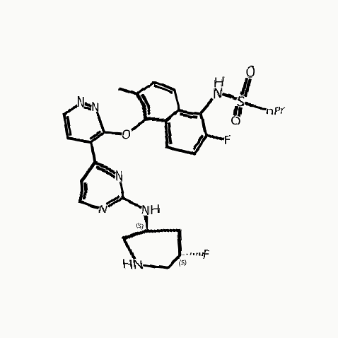 CCCS(=O)(=O)Nc1c(F)ccc2c(Oc3nnccc3-c3ccnc(N[C@@H]4CNC[C@@H](F)C4)n3)c(C)ccc12